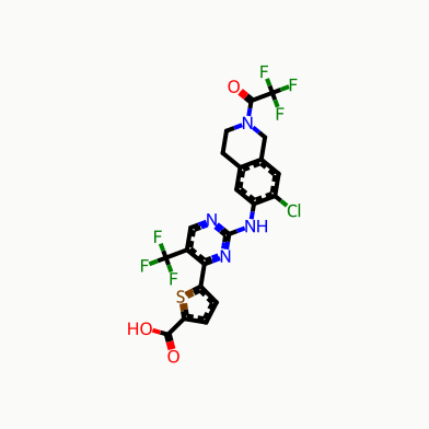 O=C(O)c1ccc(-c2nc(Nc3cc4c(cc3Cl)CN(C(=O)C(F)(F)F)CC4)ncc2C(F)(F)F)s1